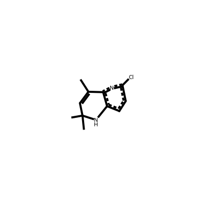 CC1=CC(C)(C)Nc2ccc(Cl)nc21